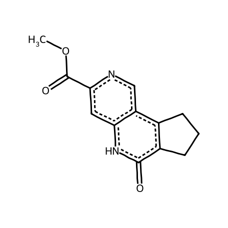 COC(=O)c1cc2[nH]c(=O)c3c(c2cn1)CCC3